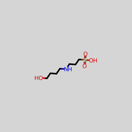 O=S(=O)(O)CCCNCCCCO